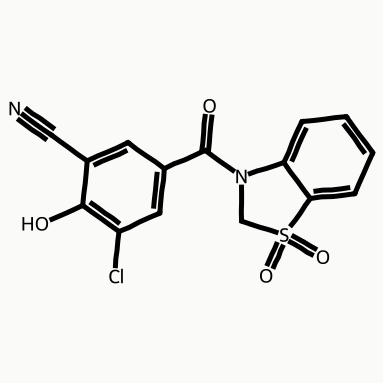 N#Cc1cc(C(=O)N2CS(=O)(=O)c3ccccc32)cc(Cl)c1O